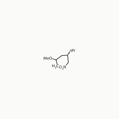 CCC[C@H](CC(C)OC)C[N+](=O)[O-]